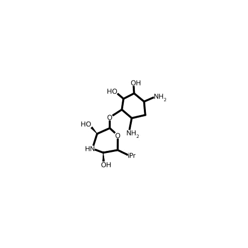 CC(C)C1OC(OC2C(N)CC(N)C(O)C2O)[C@H](O)N[C@@H]1O